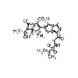 C[C@@H](O)[C@H]1C(=O)N2C(C(=O)O)=C(c3cn4cnc(C(=O)CNS(=O)(=O)N(C)C)c4s3)[C@H](C)[C@H]12